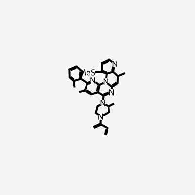 C=CC(=C)N1CCN(C2=NC3=CC(C)c4nccc(SC)c4N3c3nc(-c4ccccc4C)c(C)cc32)C(C)C1